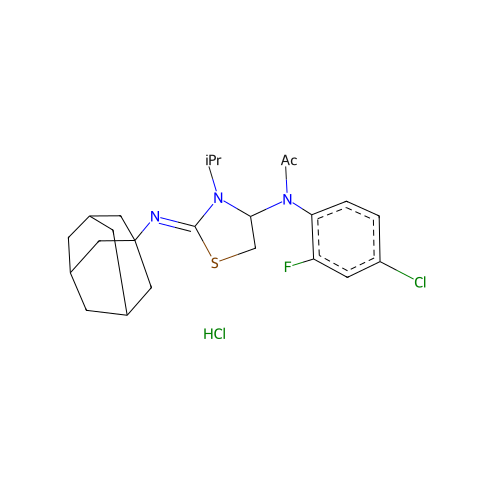 CC(=O)N(c1ccc(Cl)cc1F)C1CSC(=NC23CC4CC(CC(C4)C2)C3)N1C(C)C.Cl